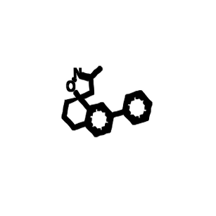 CC1=NO[C@]2(CCCc3ccc(-c4ccccc4)cc32)C1